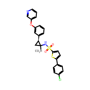 O=C(O)C1(NS(=O)(=O)c2ccc(-c3ccc(Cl)cc3)s2)C[C@H]1c1cccc(Oc2cccnc2)c1